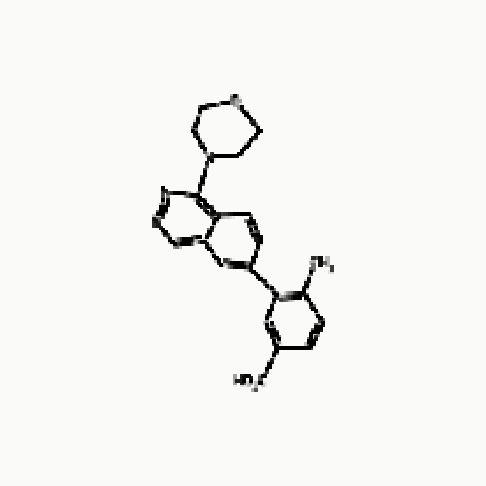 Cc1ccc(C(=O)O)cc1-c1ccc2c(N3CCOCC3)nncc2c1